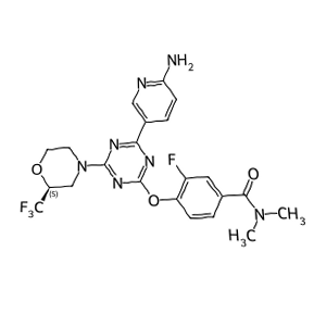 CN(C)C(=O)c1ccc(Oc2nc(-c3ccc(N)nc3)nc(N3CCO[C@H](C(F)(F)F)C3)n2)c(F)c1